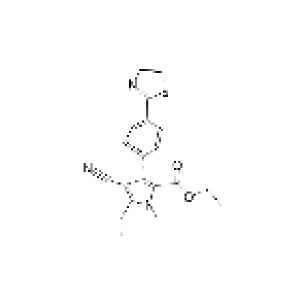 CCOC(=O)c1c(-c2ccc(-c3nccs3)cc2)c(C#N)c(CC)n1C